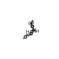 CCOC(=O)c1ccc(-c2n[nH]c3c2Cc2cc(CNC4CCC(C)CC4)ccc2-3)cc1